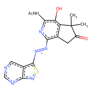 CC(=O)Nc1nc(/N=N/c2snc3ncncc23)c2c(c1O)C(C)(C)C(=O)C2